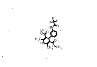 COC(=O)C1=C(C)NC(C)=C(C(=O)OC)C1c1cccc(NC(=O)C(F)(F)F)c1